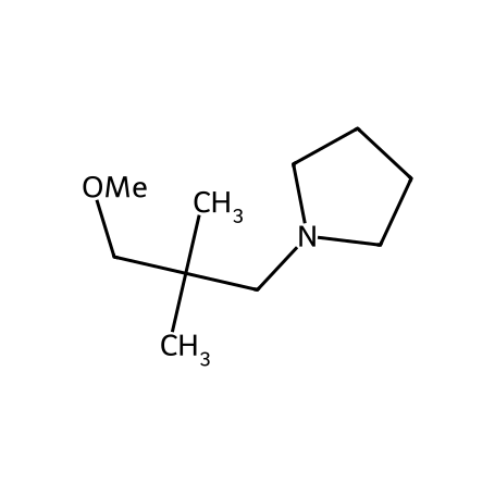 COCC(C)(C)CN1CCCC1